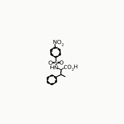 CC(c1ccccc1)C(NS(=O)(=O)c1ccc([N+](=O)[O-])cc1)C(=O)O